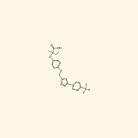 CCC(C)(Oc1ccc(OCc2cc(-c3ccc(C(F)(F)F)cc3)no2)cc1)C(=O)O